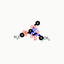 Cc1ccc(S(=O)(=O)OCC23CCC(NC(=O)OCc4ccccc4)(CC2)c2nc(C(=O)NCc4ccc(F)c(C)c4)c(O)c(=O)n2C3)cc1